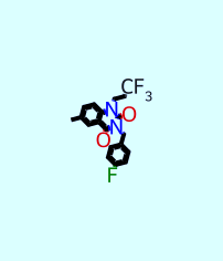 Cc1ccc2c(c1)c(=O)n(Cc1ccc(F)cc1)c(=O)n2CCC(F)(F)F